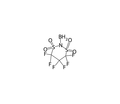 BN1S(=O)(=O)C(F)(F)C(F)(F)C(F)(F)S1(=O)=O